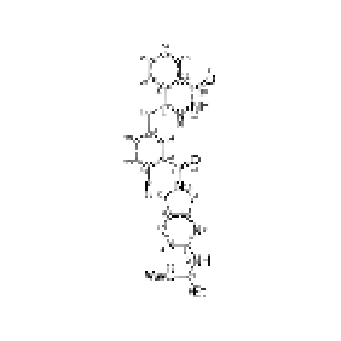 CCC(Nc1ncc2c(n1)CN(C(=O)c1cc(Cc3n[nH]c(=O)c4ccccc34)ccc1F)C2)OC